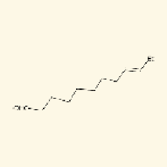 CCC=CCCCCCCC[C]=O